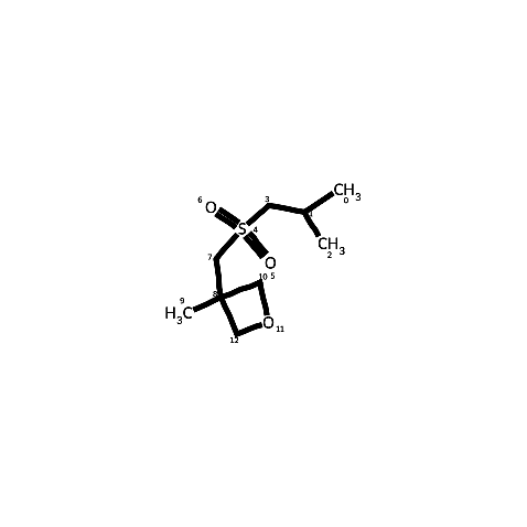 CC(C)CS(=O)(=O)CC1(C)COC1